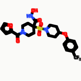 O=C(c1ccco1)N1CCC(C(=O)NO)(S(=O)(=O)N2CCC(Oc3ccc(C(F)(F)F)cc3)CC2)CC1